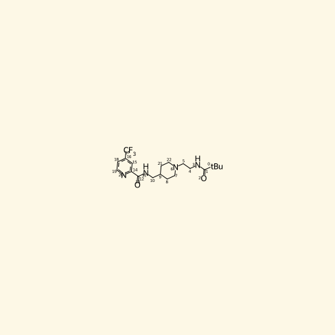 CC(C)(C)C(=O)NCCN1CCC(CNC(=O)c2cc(C(F)(F)F)ccn2)CC1